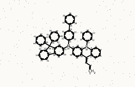 C=C/C=C1\c2ccccc2N(c2ccccc2)c2cc(N(c3ccc(-c4ccccc4)cc3)c3ccc4c(c3)C(c3ccccc3)(c3ccccc3)c3ccccc3-4)ccc21